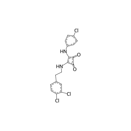 O=c1c(NCCc2ccc(Cl)c(Cl)c2)c(Nc2ccc(Cl)cc2)c1=O